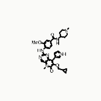 COc1cc(C(=O)NC2CCN(C)CC2)ccc1Nc1ncc2c(n1)c(-c1cc[nH]c1)c(OCC1CC1)c(=O)n2C